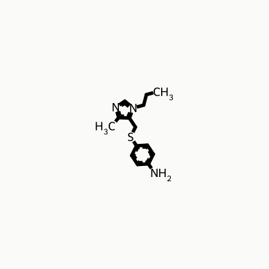 CCCn1cnc(C)c1CSc1ccc(N)cc1